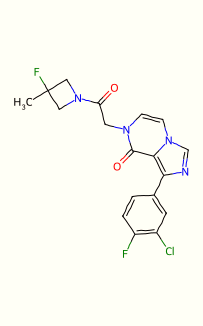 CC1(F)CN(C(=O)Cn2ccn3cnc(-c4ccc(F)c(Cl)c4)c3c2=O)C1